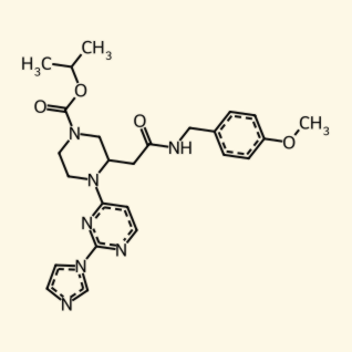 COc1ccc(CNC(=O)CC2CN(C(=O)OC(C)C)CCN2c2ccnc(-n3ccnc3)n2)cc1